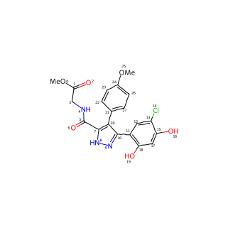 COC(=O)CNC(=O)c1[nH]nc(-c2cc(Cl)c(O)cc2O)c1-c1ccc(OC)cc1